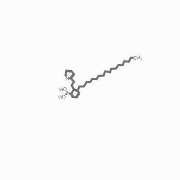 CCCCCCCCCCCCCCCCCCc1cccc(B(O)O)c1CCc1ccccn1